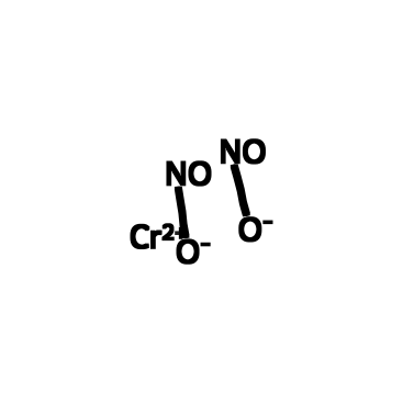 O=N[O-].O=N[O-].[Cr+2]